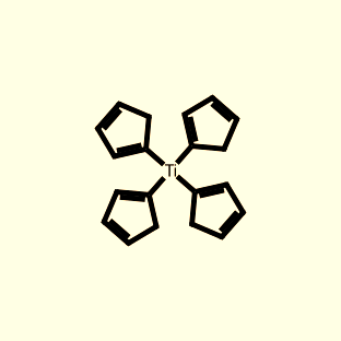 C1=CC[C]([Ti]([C]2=CC=CC2)([C]2=CC=CC2)[C]2=CC=CC2)=C1